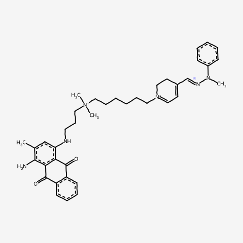 Cc1cc(NCCC[N+](C)(C)CCCCCC[N+]2=CC=C(/C=N/N(C)c3ccccc3)CC2)c2c(c1N)C(=O)c1ccccc1C2=O